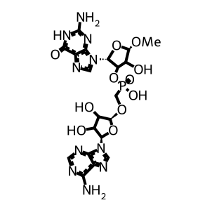 CO[C@H]1O[C@@H](n2cnc3c(=O)[nH]c(N)nc32)C(OP(=O)(O)CO[C@H]2O[C@@H](n3cnc4c(N)ncnc43)C(O)C2O)C1O